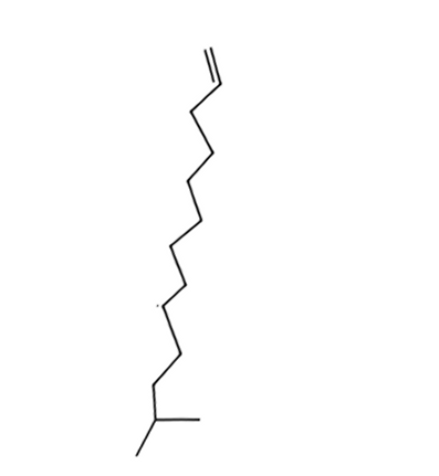 C=CCCCCCC[CH]CCC(C)C